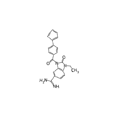 CCn1c(=O)n(C(=O)c2ccc(-c3ccccc3)cc2)c2cc(C(=N)N)ccc21